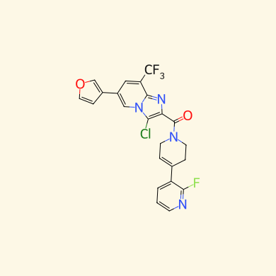 O=C(c1nc2c(C(F)(F)F)cc(-c3ccoc3)cn2c1Cl)N1CC=C(c2cccnc2F)CC1